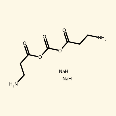 NCCC(=O)OC(=O)OC(=O)CCN.[NaH].[NaH]